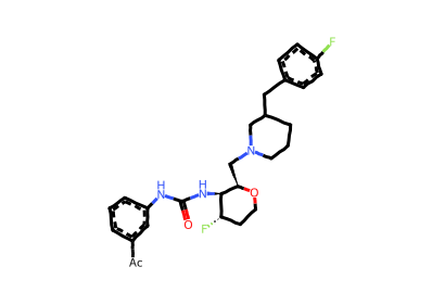 CC(=O)c1cccc(NC(=O)N[C@@H]2[C@@H](F)CCO[C@@H]2CN2CCCC(Cc3ccc(F)cc3)C2)c1